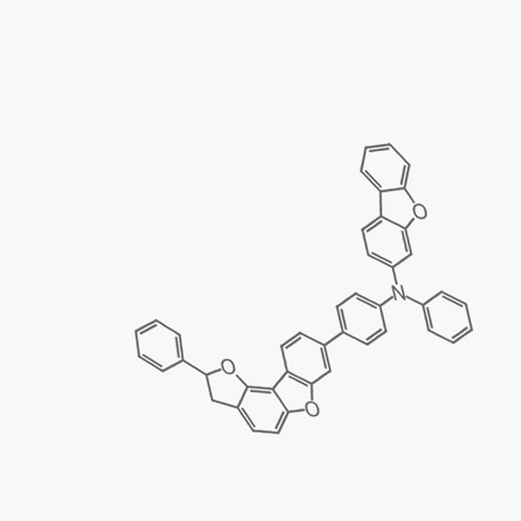 c1ccc(C2Cc3ccc4oc5cc(-c6ccc(N(c7ccccc7)c7ccc8c(c7)oc7ccccc78)cc6)ccc5c4c3O2)cc1